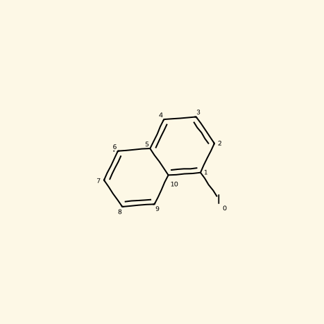 Ic1cccc2[c]cccc12